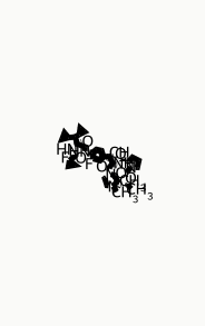 CCOC(=O)N1CCC[C@H]1C(=O)N[C@@H](C(=O)N1CCN(C)[C@H](C)C1)[C@@H](C)c1ccc(NC(=O)[C@@H](NC(=O)C2(F)CC2)C(C2CC2)C2CC2)c(F)c1